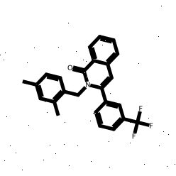 Cc1ccc(Cn2c(-c3cccc(C(F)(F)F)c3)cc3ccccc3c2=O)c(C)c1